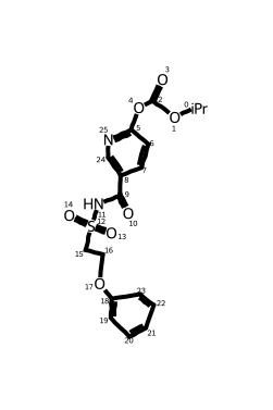 CC(C)OC(=O)Oc1ccc(C(=O)NS(=O)(=O)CCOc2ccccc2)cn1